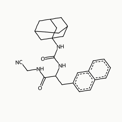 N#CCNC(=O)C(Cc1ccc2ccccc2c1)NC(=O)NC12CC3CC(CC(C3)C1)C2